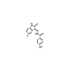 O=C1Nc2ccc(I)cc2/C1=N\NC(=O)c1ccc(O)cc1